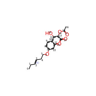 CC/C=C/CCOc1ccc2c(O)c(OC(C)=O)c(=O)oc2c1